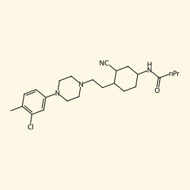 CCCC(=O)NC1CCC(CCN2CCN(c3ccc(C)c(Cl)c3)CC2)C(C#N)C1